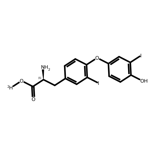 [2H]OC(=O)[C@@H](N)Cc1ccc(Oc2ccc(O)c(I)c2)c(I)c1